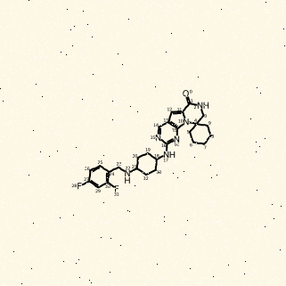 O=C1NCC2(CCCCC2)n2c1cc1cnc(NC3CCC(NCc4ccc(F)cc4F)CC3)nc12